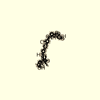 C=CCn1c(=O)c2cnc(Nc3ccc(N4CCN(c5ccc(C(=O)Nc6cccc7c6CN(C6CCC(=O)NC6=O)C7=O)cc5Cl)CC4)cc3)nc2n1-c1ccc2c(n1)[C@@](O)(CC)CC2